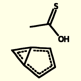 CC(O)=S.c1cc2cc-2c1